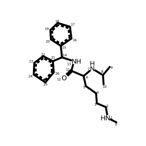 CNCCCCC(NC(C)C)C(=O)NC(c1ccccc1)c1ccccc1